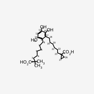 CC(C)(CCCCCCc1c(O)cc(O)c(O)c1CCCCCCC1(C(=O)O)CC1)C(=O)O